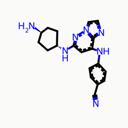 N#Cc1ccc(Nc2cc(N[C@H]3CC[C@H](N)CC3)nn3ccnc23)cc1